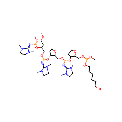 COCCC(COP(N=C1N(C)CCN1C)OC1CCOC1COP(N=C1N(C)CCN1C)OC1CCOC1COP(OC)OCCCCCCO)OP(N=C1N(C)CCN1C)OC